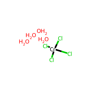 O.O.O.O.[Cl][Cr]([Cl])([Cl])[Cl]